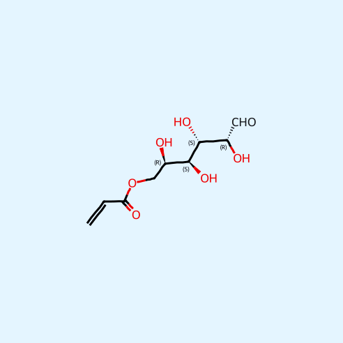 C=CC(=O)OC[C@@H](O)[C@H](O)[C@H](O)[C@@H](O)C=O